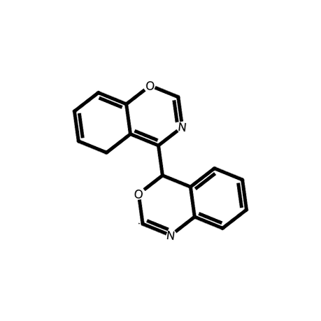 [C]1=Nc2ccccc2C(C2=C3CC=CC=C3OC=N2)O1